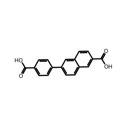 O=C(O)c1ccc(-c2ccc3cc(C(=O)O)ccc3c2)cc1